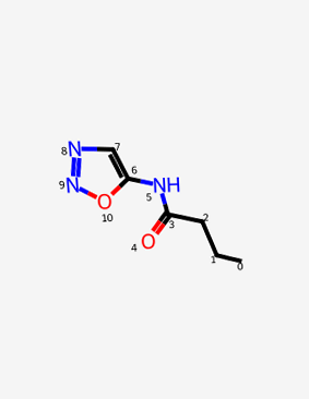 CCCC(=O)Nc1cnno1